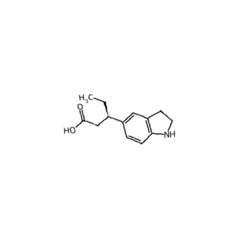 CC[C@H](CC(=O)O)c1ccc2c(c1)CCN2